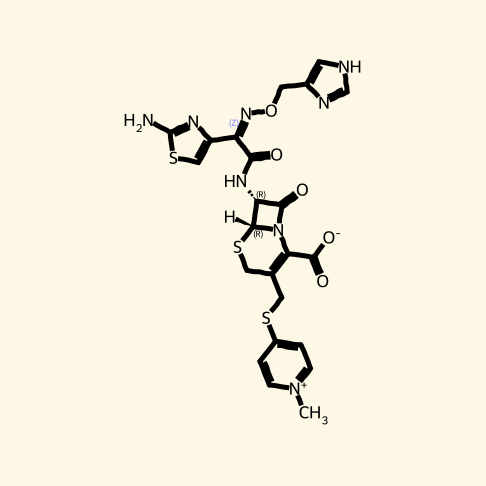 C[n+]1ccc(SCC2=C(C(=O)[O-])N3C(=O)[C@@H](NC(=O)/C(=N\OCc4c[nH]cn4)c4csc(N)n4)[C@H]3SC2)cc1